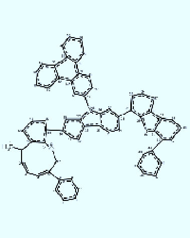 CC1/C=C\C=C(\c2ccccc2)COc2c(-c3ccc4c5ccc(-c6cccc7c6oc6c(-c8ccccc8)cccc67)cc5n(-c5ccc6c7ccccc7c7ccccc7c6c5)c4c3)cccc21